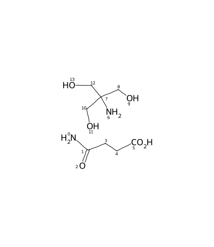 NC(=O)CCC(=O)O.NC(CO)(CO)CO